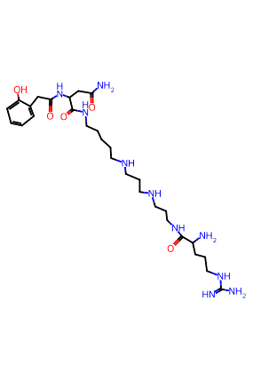 N=C(N)NCCCC(N)C(=O)NCCCNCCCNCCCCCNC(=O)C(CC(N)=O)NC(=O)Cc1ccccc1O